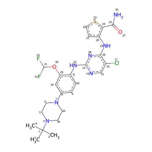 CC(C)(C)N1CCN(c2ccc(Nc3ncc(Cl)c(Nc4ccsc4C(N)=O)n3)c(OC(F)F)c2)CC1